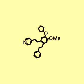 COc1cc(CCc2ccccc2)c(CCc2ccncc2)cc1OC1CCCC1